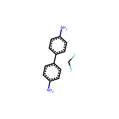 FCF.Nc1ccc(-c2ccc(N)cc2)cc1